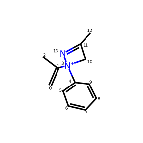 C=C(C)[N+]1(c2ccccc2)CC(C)=N1